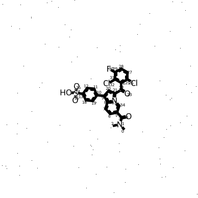 CN(C)C(=O)c1ccc2c(-c3ccc(S(=O)(=O)O)cc3)cc(C(=O)c3c(Cl)ccc(F)c3Cl)n2c1